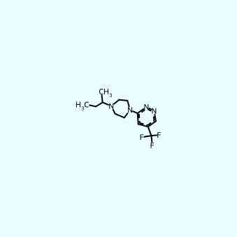 CCC(C)N1CCN(c2cc(C(F)(F)F)cnn2)CC1